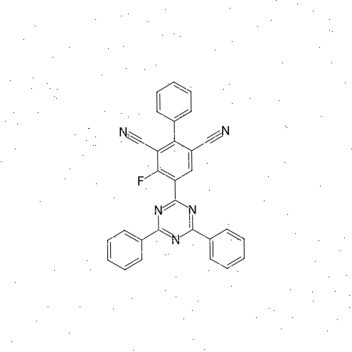 N#Cc1cc(-c2nc(-c3ccccc3)nc(-c3ccccc3)n2)c(F)c(C#N)c1-c1ccccc1